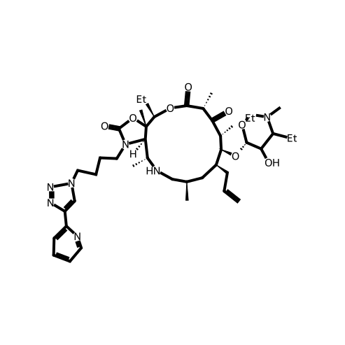 C=CC[C@H]1C[C@@H](C)CN[C@H](C)[C@H]2N(CCCCn3cc(-c4ccccn4)nn3)C(=O)O[C@]2(C)[C@@H](CC)OC(=O)[C@H](C)C(=O)[C@H](C)[C@H]1O[C@H](OCC)C(O)C(CC)N(C)C